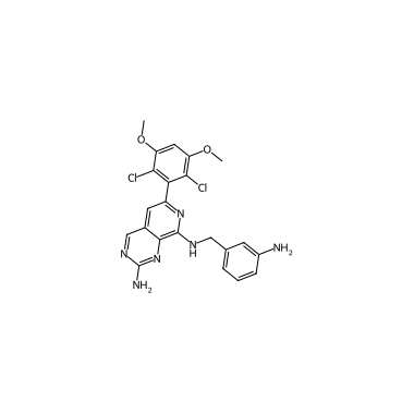 COc1cc(OC)c(Cl)c(-c2cc3cnc(N)nc3c(NCc3cccc(N)c3)n2)c1Cl